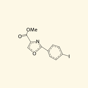 COC(=O)c1coc(-c2ccc(I)cc2)n1